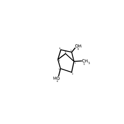 CC12CC(O)C(CC1O)C2